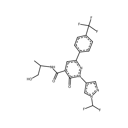 CC(CO)NC(=O)c1cc(-c2ccc(C(F)(F)F)cc2)nn(-c2cnn(C(F)F)c2)c1=O